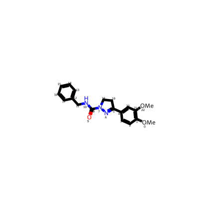 COc1ccc(C2=NN(C(=O)NCc3ccccc3)CC2)cc1OC